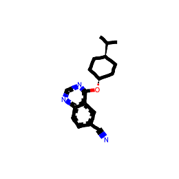 CC(C)[C@H]1CC[C@H](Oc2ncnc3ccc(C#N)cc23)CC1